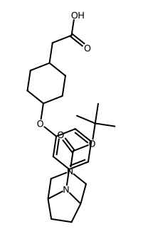 CC(C)(C)OC(=O)N1CC2CCC(C1)N2c1cccc(OC2CCC(CC(=O)O)CC2)c1